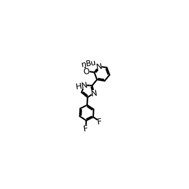 CCCCOc1ncccc1-c1nc(-c2ccc(F)c(F)c2)c[nH]1